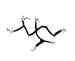 C=CCC(N)(CC(C)C)C(=O)O